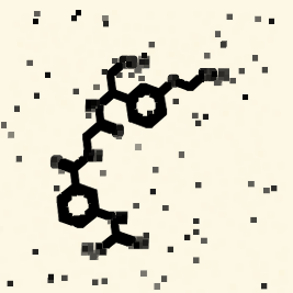 N=C(N)Nc1cccc(C(=O)NCC(=O)NC(CC(=O)O)c2cccc(OCC(=O)O)c2)c1